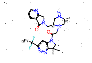 CCCC(F)(F)c1cc2c(nn1)C(C)(C)CN2C(=O)CN1C[C@@H](C)NC[C@@H]1CN1Cc2ncccc2C1=O